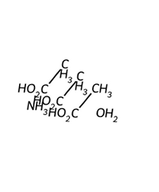 CC(=O)O.CC(=O)O.CC(=O)O.N.O